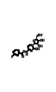 O=C(ONC1=NC(O)N([C@@H]2O[C@H](CO)[C@@H](O)[C@H]2O)C=C1)c1cccc(F)c1